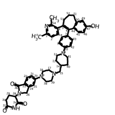 Cc1ccc(C2=C(c3ccc(N4CCC(CN5CCN(c6ccc7c(c6)CN(C6CCC(=O)NC6=O)C7=O)CC5)CC4)cc3)c3ccc(O)cc3CCC2)c(C)n1